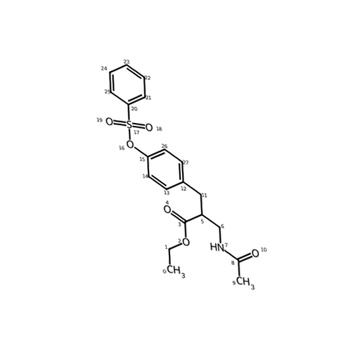 CCOC(=O)C(CNC(C)=O)Cc1ccc(OS(=O)(=O)c2ccccc2)cc1